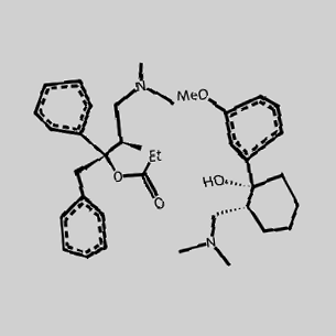 CCC(=O)O[C@](Cc1ccccc1)(c1ccccc1)[C@H](C)CN(C)C.COc1cccc([C@@]2(O)CCCC[C@@H]2CN(C)C)c1